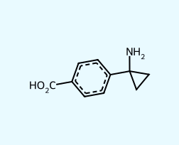 NC1(c2ccc(C(=O)O)cc2)CC1